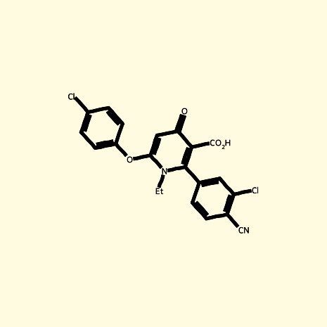 CCn1c(Oc2ccc(Cl)cc2)cc(=O)c(C(=O)O)c1-c1ccc(C#N)c(Cl)c1